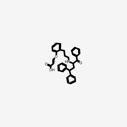 O=C(O)/C=C/Oc1ccccc1CCCNC(CC(c1ccccc1)c1ccccc1)C(=O)c1ccccc1